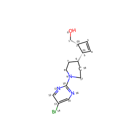 OC[C@@H]1C=C[C@@H]1C1CCN(c2ncc(Br)cn2)CC1